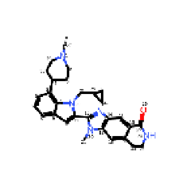 CC(=O)N1CCC(c2cccc3cc(-c4nc5cc6c(cc5n4C)CCNC6=O)n(CC4CC4)c23)CC1